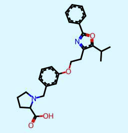 CC(C)c1oc(-c2ccccc2)nc1CCOc1cccc(CN2CCCC2C(=O)O)c1